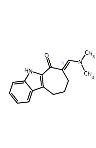 CN(C)/C=C1\CCCc2c([nH]c3ccccc23)C1=O